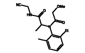 CCc1cccc(C)c1N(C(=O)COC)C(C)C(=O)NCC#N